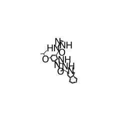 CC(C)Oc1cc(C(=O)Nc2ncc[nH]2)c2[nH]c(NC(=O)c3cc4ccccc4cn3)nc2c1